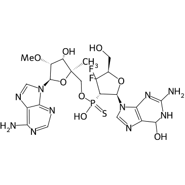 CO[C@H]1[C@H](n2cnc3c(N)ncnc32)O[C@](C)(COP(O)(=S)[C@H]2[C@H](n3cnc4c3N=C(N)NC4O)O[C@H](CO)C2(F)F)[C@H]1O